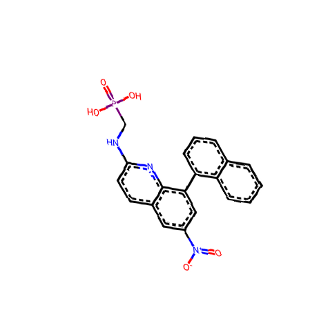 O=[N+]([O-])c1cc(-c2cccc3ccccc23)c2nc(NCP(=O)(O)O)ccc2c1